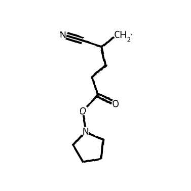 [CH2]C(C#N)CCC(=O)ON1CCCC1